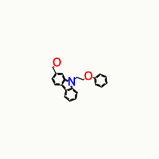 O=Cc1ccc2c3ccccc3n(CCOc3ccccc3)c2c1